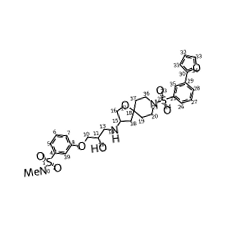 CNS(=O)(=O)c1cccc(OCC(O)CNC2COC3(CCN(S(=O)(=O)c4cccc(-c5ccco5)c4)CC3)C2)c1